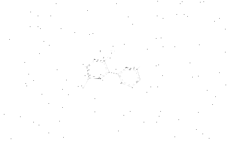 Cc1ccc(F)c(-c2cccc(Cl)c2)c1